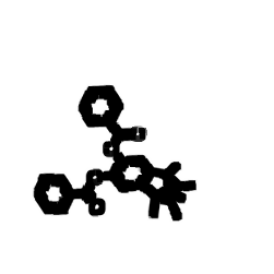 CC1C(C)C2(C)c3cc(OC(=O)c4ccccc4)c(OC(=O)c4ccccc4)cc3C1(C)C2C